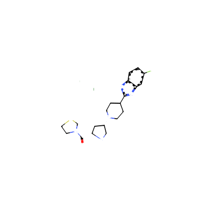 Cl.Cl.Cl.O=C([C@@H]1C[C@H](N2CCC(c3nc4cc(F)ccc4[nH]3)CC2)CN1)N1CCSC1